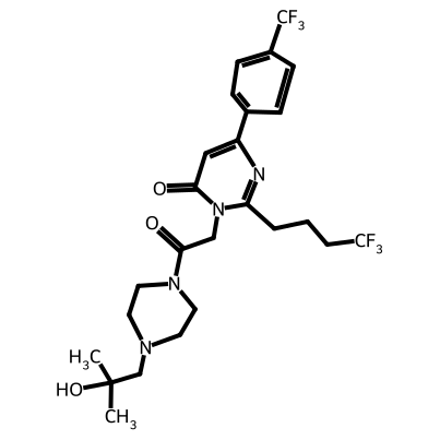 CC(C)(O)CN1CCN(C(=O)Cn2c(CCCC(F)(F)F)nc(-c3ccc(C(F)(F)F)cc3)cc2=O)CC1